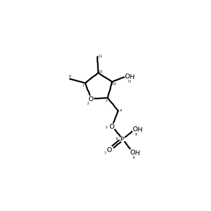 CC1OC(COP(=O)(O)O)C(O)C1C